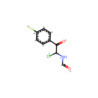 O=CNC(Cl)C(=O)c1ccc(F)cc1